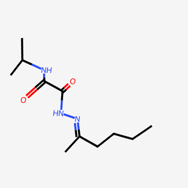 CCCCC(C)=NNC(=O)C(=O)NC(C)C